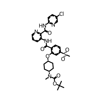 CN(C(=O)OC(C)(C)C)[C@H]1CC[C@@H](Oc2cc(S(C)(=O)=O)ccc2C(=O)Nc2cccnc2C(=O)Nc2ccc(Cl)cn2)CC1